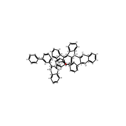 c1ccc(-c2cccc(-c3nc4ccccc4nc3-n3c4ccccc4c4c5c6ccccc6n(-c6nc7ccccc7nc6-c6cccc(-c7ccccc7)c6)c5ccc43)c2)cc1